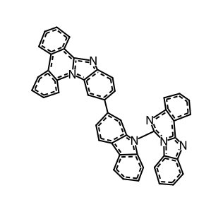 c1ccc2c(c1)nc(-n1c3ccccc3c3ccc(-c4ccc5nc6c7ccccc7c7ccccc7n6c5c4)cc31)n1c3ccccc3nc21